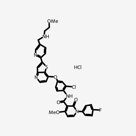 COCCNCc1ccc(-c2cc3nccc(Oc4ccc(NC(=O)c5c(OC)ccn(-c6ccc(F)cc6)c5=O)c(Cl)c4)c3s2)nc1.Cl